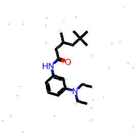 CCN(CC)c1cccc(NC(=O)CC(C)CC(C)(C)C)c1